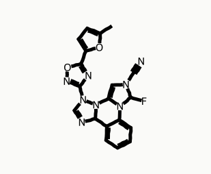 Cc1ccc(-c2nc(N3C=NC4c5ccccc5N5C(=CN(C#N)C5F)N43)no2)o1